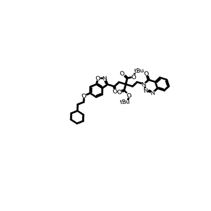 CC(C)(C)OC(=O)C(CCn1nnc2ccccc2c1=O)(CC(=O)c1noc2cc(OCCC3CCCCC3)ccc12)C(=O)OC(C)(C)C